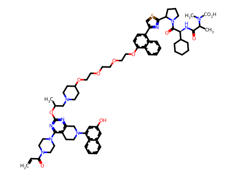 C=CC(=O)N1CCN(c2nc(OC(C)CN3CCC(OCCOCCOCCOc4ccc(-c5csc(C6CCCN6C(=O)[C@@H](NC(=O)C(C)N(C)C(=O)O)C6CCCCC6)n5)c5ccccc45)CC3)nc3c2CCN(c2cc(O)cc4ccccc24)C3)CC1